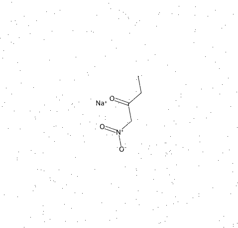 CCC(=O)C[N+](=O)[O-].[Na+]